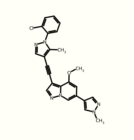 COc1cc(-c2cnn(C)c2)cn2ncc(C#Cc3cnn(-c4ccccc4Cl)c3C)c12